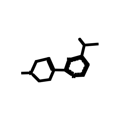 CC(C)c1ccnc(C2=CCN(C)CC2)n1